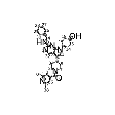 Cc1cc(C(=O)N2CCC(c3cn(C4CCC(O)CC4)c4nc(NCc5ccccc5)ncc34)CC2)cc(C)n1